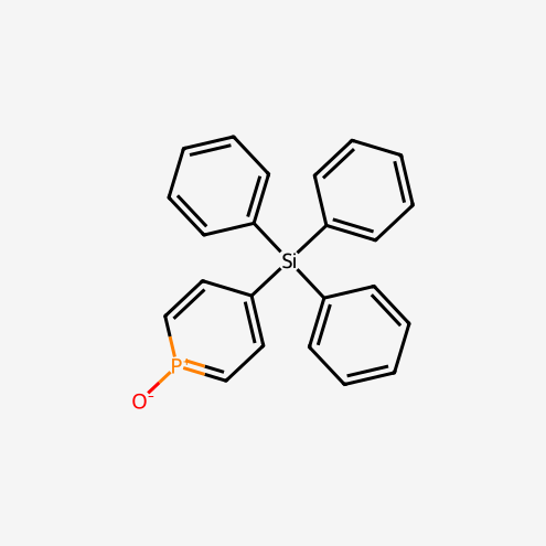 [O-][p+]1ccc([Si](c2ccccc2)(c2ccccc2)c2ccccc2)cc1